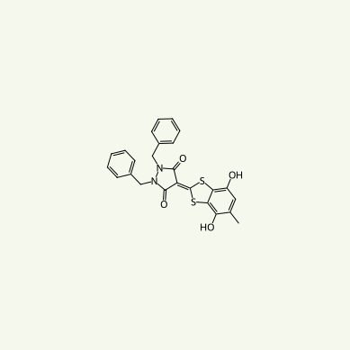 Cc1cc(O)c2c(c1O)SC(=C1C(=O)N(Cc3ccccc3)N(Cc3ccccc3)C1=O)S2